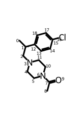 C[C](CN1CCN(C(C)=O)CC1)c1ccc(Cl)cc1